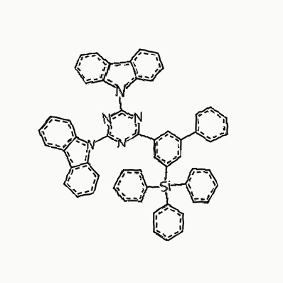 c1ccc(-c2cc(-c3nc(-n4c5ccccc5c5ccccc54)nc(-n4c5ccccc5c5ccccc54)n3)cc([Si](c3ccccc3)(c3ccccc3)c3ccccc3)c2)cc1